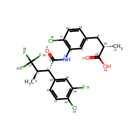 C[C@H]([C@H](C(=O)Nc1cc(C[C@H](C)C(=O)O)ccc1Cl)c1ccc(Cl)c(F)c1)C(F)(F)F